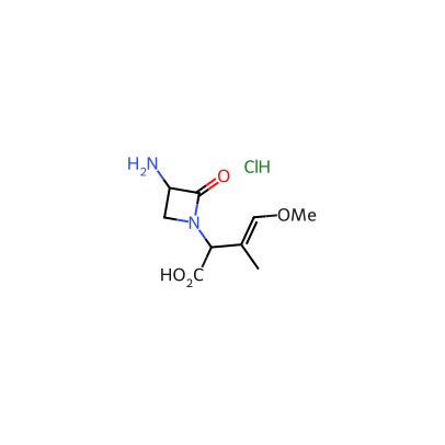 COC=C(C)C(C(=O)O)N1CC(N)C1=O.Cl